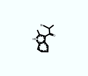 Cc1[nH]c2ccccc2c1C(=O)C(C)Br